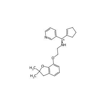 CC1(C)Cc2cccc(OCCN[C@H](C3=CCCC3)c3cccnc3)c2O1